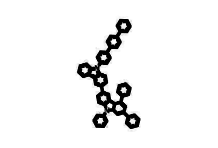 C1=C(c2ccccc2)C=C(c2ccccc2)C2c3cc(-c4ccc5c(c4)c4ccccc4n5-c4ccc(-c5ccc(-c6ccccc6)cc5)cc4)ccc3N(c3ccccc3)C12